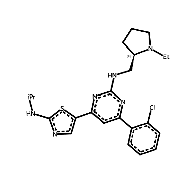 CCN1CCC[C@@H]1CNc1nc(-c2cnc(NC(C)C)s2)cc(-c2ccccc2Cl)n1